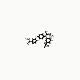 CNC(=O)c1cc(Sc2ccc(N(C(N)=O)c3cc(C(F)(F)F)ccc3OC)cc2)ccn1